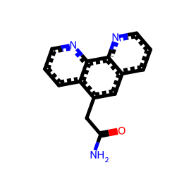 NC(=O)Cc1cc2cccnc2c2ncccc12